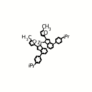 Cc1ccc(C2=Cc3c(-c4ccc(C(C)C)cc4)cccc3[CH]2[Zr][CH]2C(c3ccc(C)o3)=Cc3c(-c4ccc(C(C)C)cc4)cccc32)o1